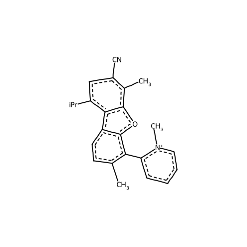 Cc1ccc2c(oc3c(C)c(C#N)cc(C(C)C)c32)c1-c1cccc[n+]1C